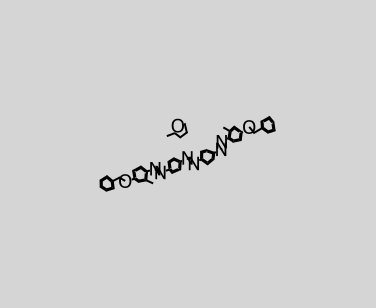 CC1CCCO1.Cc1cc(OCc2ccccc2)ccc1N=Nc1ccc(N=Nc2ccc(N=Nc3ccc(OCc4ccccc4)cc3C)cc2)cc1